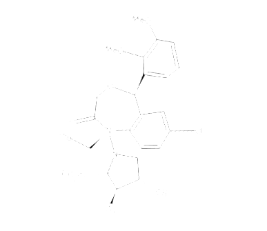 COc1cccc([C@@H]2OCC(=O)[N@@+](CC(C)(C)C)(N3C[C@H](O)[C@@H](C(C)=O)[C@@H]3C(=O)O)c3ccc(Cl)cc32)c1OC